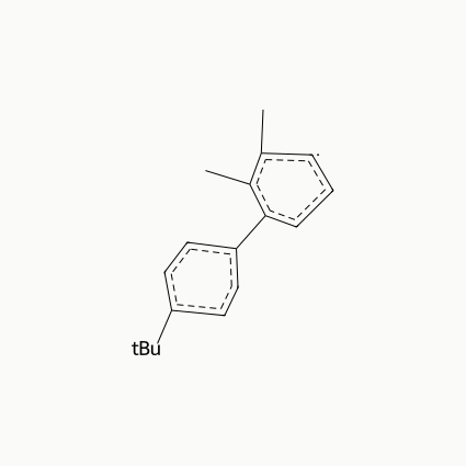 Cc1[c]ccc(-c2ccc(C(C)(C)C)cc2)c1C